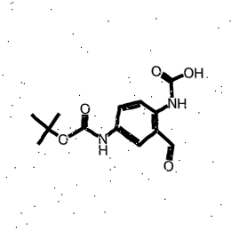 CC(C)(C)OC(=O)Nc1ccc(NC(=O)O)c(C=O)c1